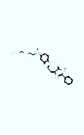 CN1C(=O)/C(=C\c2nc3ccc(N(C)CCOCC(C)(C)C)cc3o2)N=C1c1ccccc1